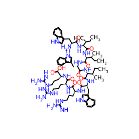 CC[C@H](C)[C@H](NC(=O)[C@H](Cc1c[nH]c2ccccc12)NC(=O)[C@@H](NC(=O)[C@@H](NC(=O)[C@@H](N)Cc1c[nH]c2ccccc12)[C@@H](C)CC)[C@@H](C)CC)C(=O)N[C@@H](Cc1c[nH]c2ccccc12)C(=O)N[C@@H](CCCNC(=N)N)C(=O)N[C@@H](CCCNC(=N)N)C(=O)N[C@@H](CCCNC(=N)N)C(=O)O